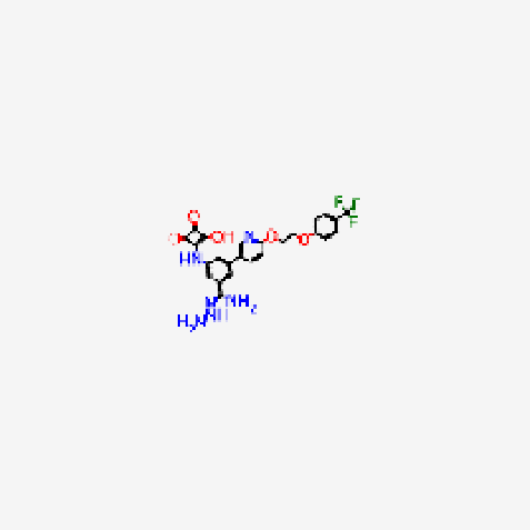 NN/N=C(\N)c1cc(Nc2c(O)c(=O)c2=O)cc(-c2ccc(OCCOc3ccc(C(F)(F)F)cc3)nc2)c1